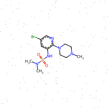 CN1CCN(c2ncc(Br)cc2NS(=O)(=O)N(C)C)CC1